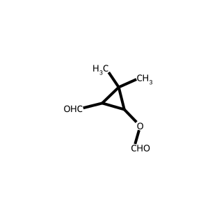 CC1(C)C(C=O)C1OC=O